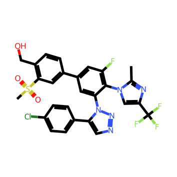 Cc1nc(C(F)(F)F)cn1-c1c(F)cc(-c2ccc(CO)c(S(C)(=O)=O)c2)cc1-n1nncc1-c1ccc(Cl)cc1